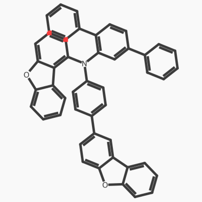 c1ccc(-c2ccc(-c3ccccc3)c(N(c3ccc(-c4ccc5oc6ccccc6c5c4)cc3)c3cccc4oc5ccccc5c34)c2)cc1